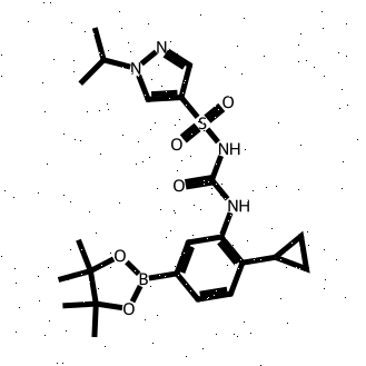 CC(C)n1cc(S(=O)(=O)NC(=O)Nc2cc(B3OC(C)(C)C(C)(C)O3)ccc2C2CC2)cn1